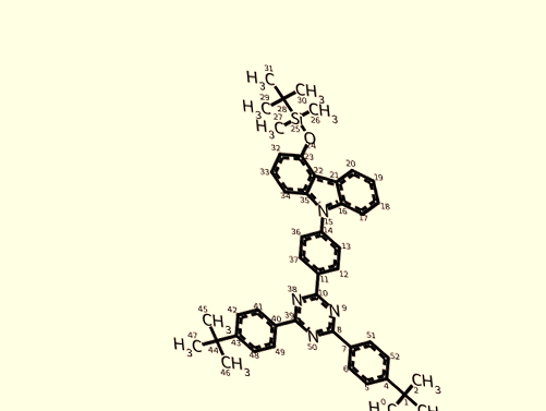 CC(C)(C)c1ccc(-c2nc(-c3ccc(-n4c5ccccc5c5c(O[Si](C)(C)C(C)(C)C)cccc54)cc3)nc(-c3ccc(C(C)(C)C)cc3)n2)cc1